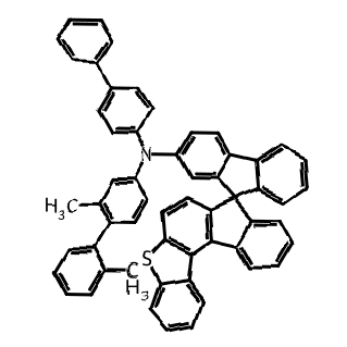 Cc1ccccc1-c1ccc(N(c2ccc(-c3ccccc3)cc2)c2ccc3c(c2)C2(c4ccccc4-3)c3ccccc3-c3c2ccc2sc4ccccc4c32)cc1C